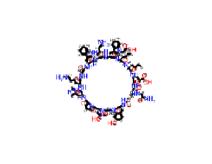 CCCC[C@H]1C(=O)N(C)[C@@H](CCCC)C(=O)N[C@@H](CCC(=O)O)C(=O)N[C@H](C(=O)NCC(N)=O)CSCC(=O)N[C@@H](Cc2ccc(O)cc2)C(=O)N(C)[C@@H](C)C(=O)N[C@@H](CC(=O)O)C(=O)N2CCCC2C(=O)N[C@@H](Cc2cnc[nH]2)C(=O)N[C@@H](CCCCN)C(=O)N[C@H](C)C(=O)N[C@@H](Cc2c[nH]c3ccccc23)C(=O)N[C@@H](CCCCN)C(=O)N[C@@H](Cc2cn(CC(=O)O)c3ccccc23)C(=O)N1C